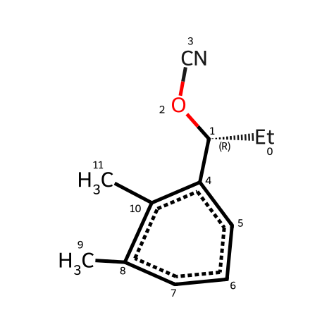 CC[C@@H](OC#N)c1cccc(C)c1C